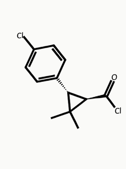 CC1(C)[C@H](C(=O)Cl)[C@H]1c1ccc(Cl)cc1